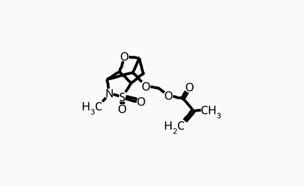 C=C(C)C(=O)OCOC1C2CC3C(O2)C1N(C)S3(=O)=O